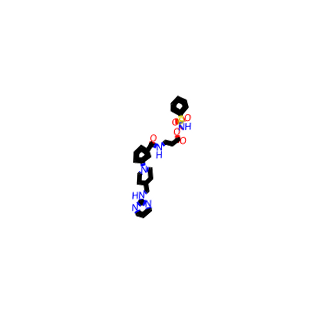 O=C(CCNC(=O)c1cccc(N2CCC(CNc3ncccn3)CC2)c1)ONS(=O)(=O)c1ccccc1